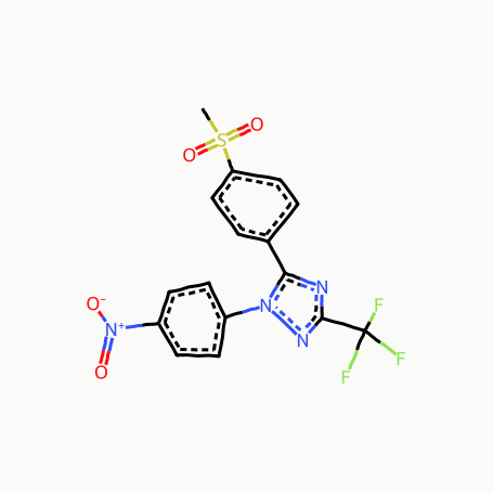 CS(=O)(=O)c1ccc(-c2nc(C(F)(F)F)nn2-c2ccc([N+](=O)[O-])cc2)cc1